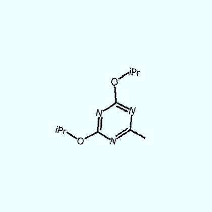 Cc1nc(OC(C)C)nc(OC(C)C)n1